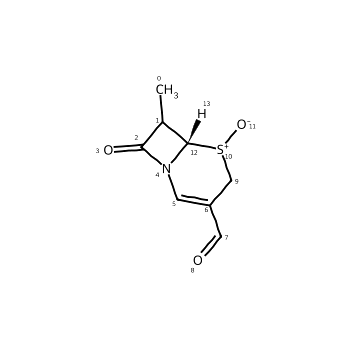 CC1C(=O)N2C=C(C=O)C[S+]([O-])[C@@H]12